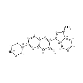 Cn1cc(-c2cc3ccc(N4CCNCC4)cc3oc2=O)c2ccccc21